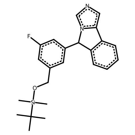 CC(C)(C)[Si](C)(C)OCc1cc(F)cc(C2c3ccccc3-c3cncn32)c1